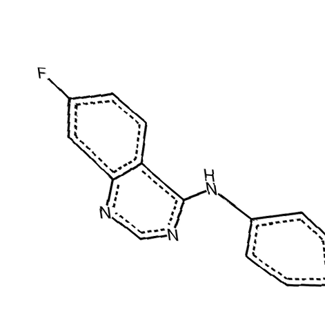 Fc1ccc2c(Nc3ccccc3)ncnc2c1